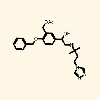 CC(=O)OCc1cc(C(O)CNC(C)(C)CCn2cnnc2)ccc1OCc1ccccc1